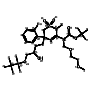 COCCOCN(C(=O)OC(C)(C)C)C1=NC(CCC(O)CO[Si](C)(C)C(C)(C)C)(c2ccccc2F)CS(=O)(=O)N1C